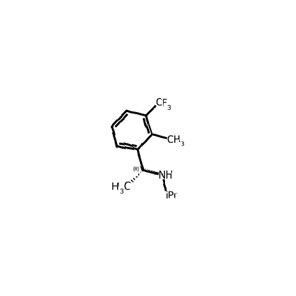 Cc1c([C@@H](C)NC(C)C)cccc1C(F)(F)F